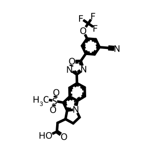 CS(=O)(=O)c1c2n(c3ccc(-c4noc(-c5cc(C#N)cc(OC(F)(F)F)c5)n4)cc13)CCC2CC(=O)O